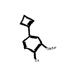 CCc1ccc(C2=CCC2)cc1OC